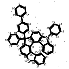 c1ccc(-c2ccc(C3(c4ccccc4)c4ccc5sc6ccccc6c5c4-c4c3ccc3c4c4ccccc4n3-c3ccccc3)cc2)cc1